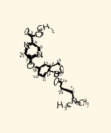 COC(=O)c1cnc(Oc2ccc3c(c2)COB3OCCCN(C)C)cn1